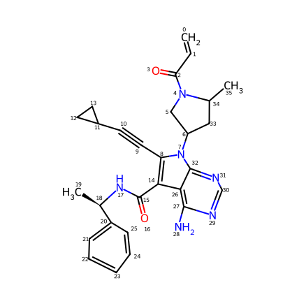 C=CC(=O)N1CC(n2c(C#CC3CC3)c(C(=O)N[C@H](C)c3ccccc3)c3c(N)ncnc32)CC1C